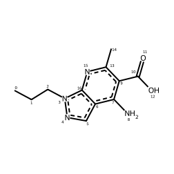 CCCn1ncc2c(N)c(C(=O)O)c(C)nc21